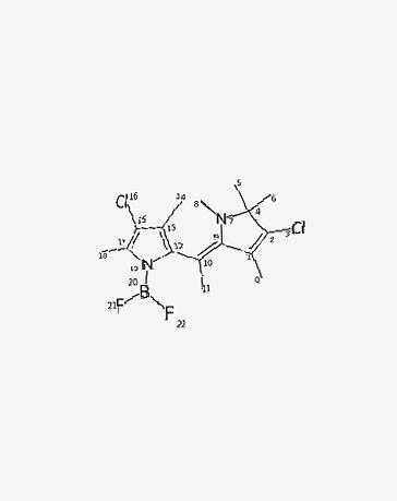 CC1=C(Cl)C(C)(C)N(C)/C1=C(/C)c1c(C)c(Cl)c(C)n1B(F)F